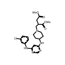 COC(=O)CC(CN1CCC(Nc2cc(Nc3cccc(Cl)c3)ncn2)CC1)C(=O)OC